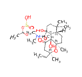 C=C[C@@]1(C)CC(=O)[C@]2(O)[C@]3(C)[C@@H](CC[C@@]2(C)O1)C(C)(C)CC[C@@]3(O)C(=O)N(C)C.CC(=O)OS(=O)O